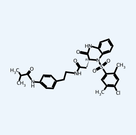 Cc1cc(S(=O)(=O)N2c3ccccc3NC(=O)[C@H]2CC(=O)NCCc2ccc(NC(=O)C(C)C)cc2)c(C)cc1Cl